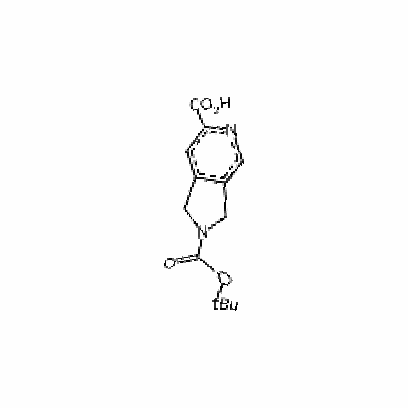 CC(C)(C)OC(=O)N1Cc2cnc(C(=O)O)cc2C1